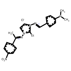 CCc1n(/N=C/c2ccc(N(C)C)cc2)cc[n+]1/N=C(\C)c1ccc([N+](=O)[O-])cc1.[Cl-]